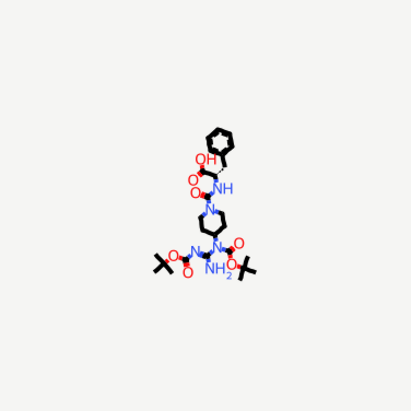 CC(C)(C)OC(=O)N=C(N)N(C(=O)OC(C)(C)C)C1CCN(C(=O)N[C@@H](Cc2ccccc2)C(=O)O)CC1